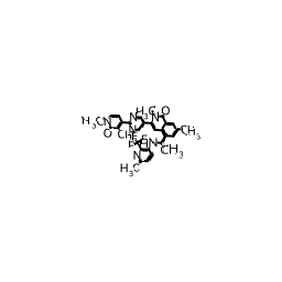 Cc1cc([C@@H](C)Nc2ccc(C)nc2C(F)(F)F)c2cc(-c3cnc(-c4ccn(C)c(=O)c4C)nc3)n(C)c(=O)c2c1